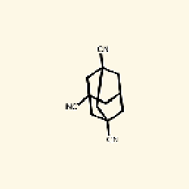 N#CC12CC3CC(C#N)(C1)CC(C#N)(C3)C2